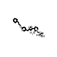 NC1C(c2cc(Cc3ccc(OCCCc4ccccc4)nc3)no2)=CC=CN1COP(=O)(O)O